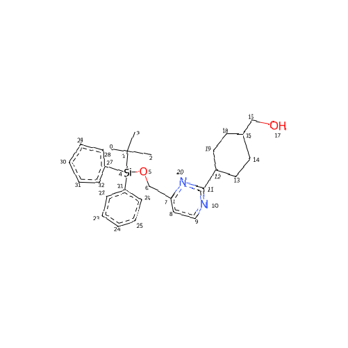 CC(C)(C)[Si](OCc1ccnc(C2CCC(CO)CC2)n1)(c1ccccc1)c1ccccc1